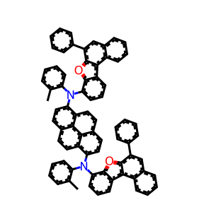 Cc1ccccc1N(c1ccc2ccc3c(N(c4ccccc4C)c4cccc5c4oc4c(-c6ccccc6)cc6ccccc6c45)ccc4ccc1c2c43)c1cccc2c1oc1c(-c3ccccc3)cc3ccccc3c12